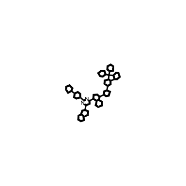 c1ccc(-c2ccc(-c3nc(-c4ccc5ccccc5c4)cc(-c4ccc(-c5cccc(-c6ccc7c(c6)-c6ccccc6C7(c6ccccc6)c6ccccc6)c5)c5ccccc45)n3)cc2)cc1